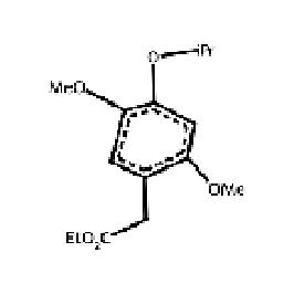 CCOC(=O)Cc1cc(OC)c(OC(C)C)cc1OC